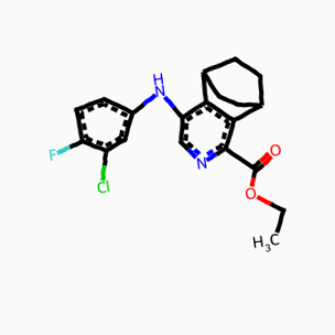 CCOC(=O)c1ncc(Nc2ccc(F)c(Cl)c2)c2c1C1CCC2CC1